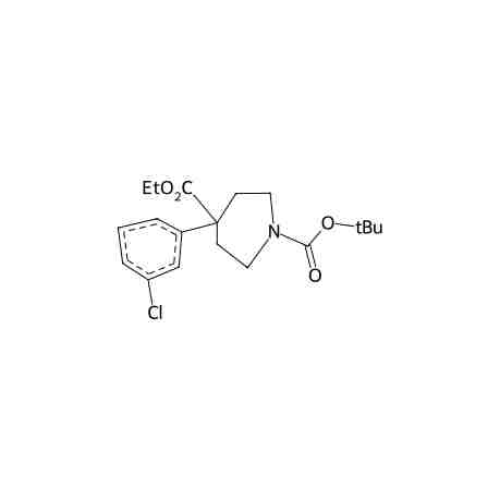 CCOC(=O)C1(c2cccc(Cl)c2)CCN(C(=O)OC(C)(C)C)CC1